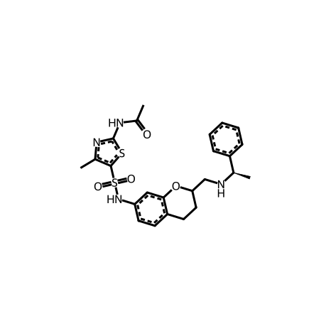 CC(=O)Nc1nc(C)c(S(=O)(=O)Nc2ccc3c(c2)OC(CN[C@H](C)c2ccccc2)CC3)s1